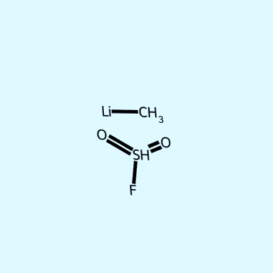 O=[SH](=O)F.[Li][CH3]